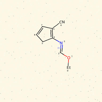 CCO/C=N/C1=C(C#N)C=CC1